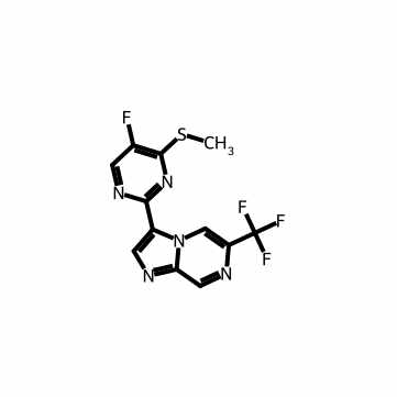 CSc1nc(-c2cnc3cnc(C(F)(F)F)cn23)ncc1F